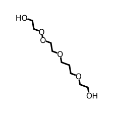 OCCOCCCOCCOOCCO